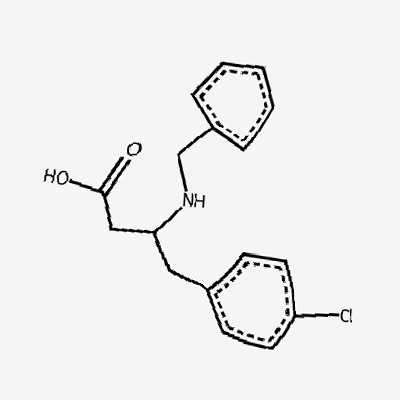 O=C(O)CC(Cc1ccc(Cl)cc1)NCc1ccccc1